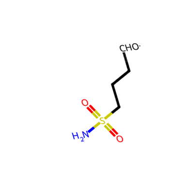 NS(=O)(=O)CCC[C]=O